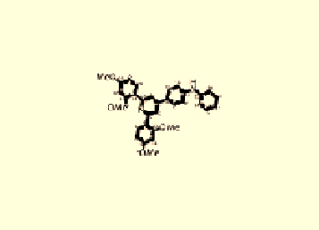 COc1ccc(-c2cc(-c3ccc(Nc4ccccc4)cc3)cc(-c3ccc(OC)cc3OC)n2)c(OC)c1